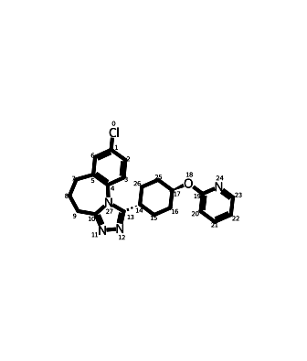 Clc1ccc2c(c1)CCCc1nnc([C@H]3CC[C@H](Oc4ccccn4)CC3)n1-2